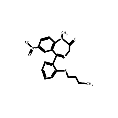 CCCCSc1ccccc1C1=NCC(=O)N(C)c2ccc([N+](=O)[O-])cc21